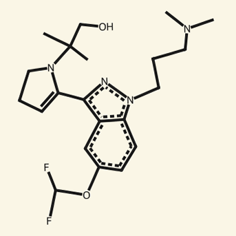 CN(C)CCCn1nc(C2=CCCN2C(C)(C)CO)c2cc(OC(F)F)ccc21